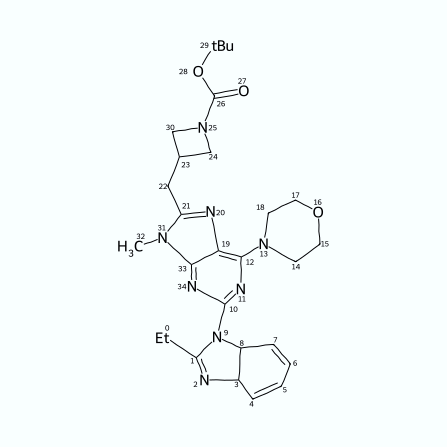 CCC1=NC2C=CC=CC2N1c1nc(N2CCOCC2)c2nc(CC3CN(C(=O)OC(C)(C)C)C3)n(C)c2n1